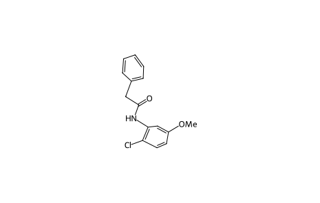 COc1ccc(Cl)c(NC(=O)Cc2ccccc2)c1